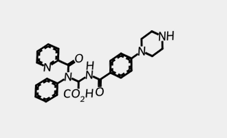 O=C(NC(C(=O)O)N(C(=O)c1ccccn1)c1ccccc1)c1ccc(N2CCNCC2)cc1